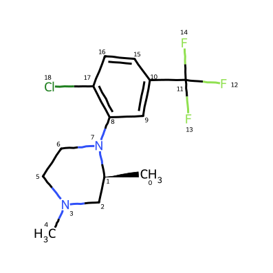 C[C@H]1CN(C)CCN1c1cc(C(F)(F)F)ccc1Cl